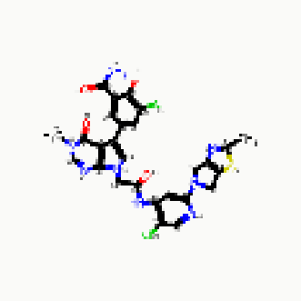 Cc1nc2c(s1)CN(c1cc(NC(=O)Cn3cc(-c4cc(Cl)c(O)c(C(N)=O)c4)c4c(=O)n(C)cnc43)c(Cl)cn1)C2